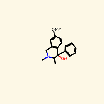 COc1ccc2c(c1)CN(C)C(C)C2(O)c1ccccc1